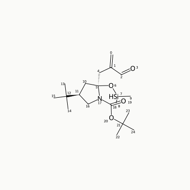 C=C(C=O)C[C@@]1(O[SiH](C)C)C[C@H](C(C)(C)C)CN1C(=O)OC(C)(C)C